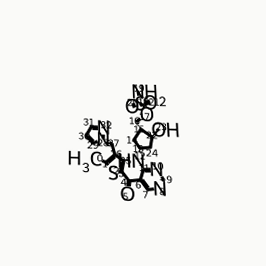 Cc1sc(C(=O)c2cncnc2N[C@@H]2C[C@H](COS(N)(=O)=O)[C@@H](O)C2)cc1Cn1cccn1